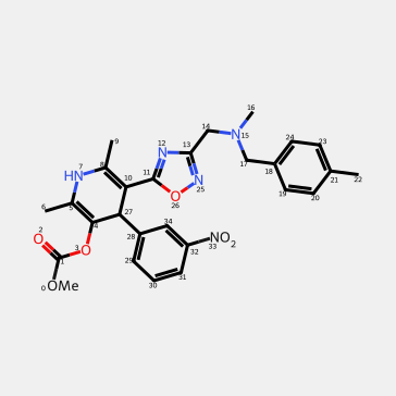 COC(=O)OC1=C(C)NC(C)=C(c2nc(CN(C)Cc3ccc(C)cc3)no2)C1c1cccc([N+](=O)[O-])c1